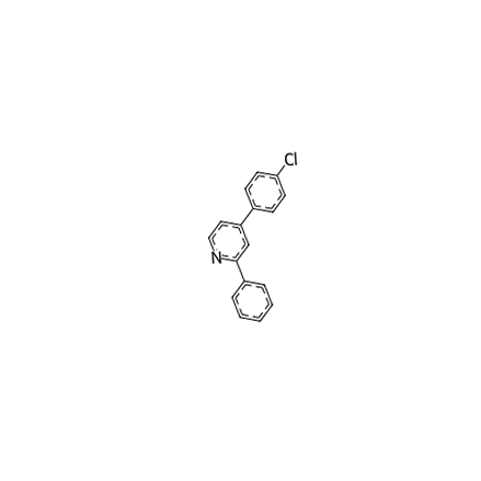 Clc1ccc(-c2ccnc(-c3ccccc3)c2)cc1